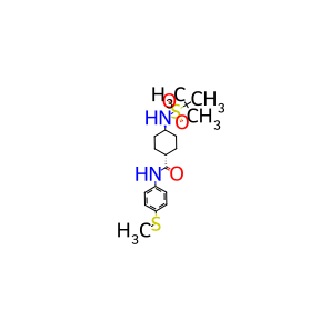 CSc1ccc(NC(=O)[C@H]2CC[C@H](NS(=O)(=O)C(C)(C)C)CC2)cc1